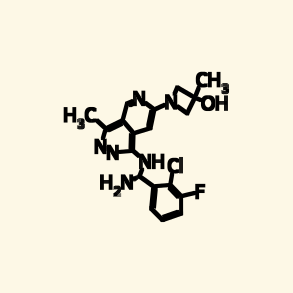 Cc1nnc(N[C@H](N)c2cccc(F)c2Cl)c2cc(N3CC(C)(O)C3)ncc12